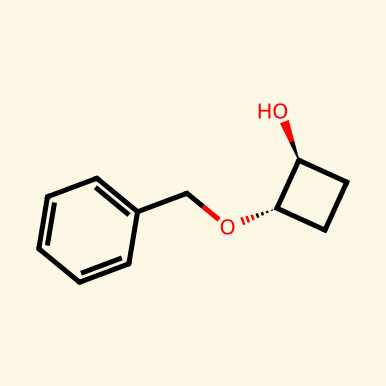 O[C@H]1CC[C@@H]1OCc1ccccc1